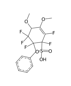 COC1=C(F)C(F)(S(=O)(=O)O)C(F)(Cc2ccccc2)C(F)(F)C1OC